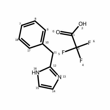 O=C(O)C(F)(F)F.c1ccc(Cc2ncc[nH]2)cc1